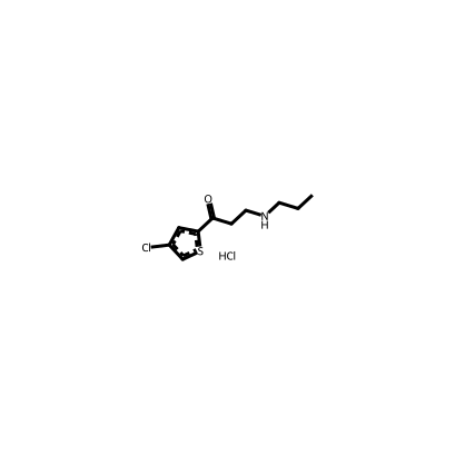 CCCNCCC(=O)c1cc(Cl)cs1.Cl